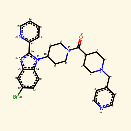 O=C(C1CCN(Cc2ccncc2)CC1)N1CCC(n2c(-c3ccccn3)nc3cc(Br)ccc32)CC1